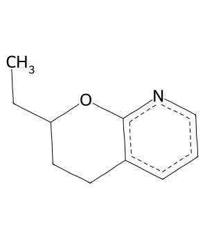 CCC1CCc2cccnc2O1